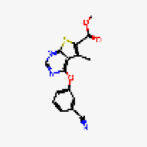 COC(=O)c1sc2ncnc(Oc3cccc(C#N)c3)c2c1C